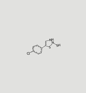 SN1NC=C(c2ccc(Cl)cc2)S1